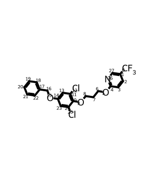 FC(F)(F)c1ccc(OCCCOc2c(Cl)cc(OCc3ccccc3)cc2Cl)nc1